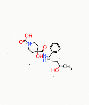 CC(O)CC[C@H](NC(=O)C1(O)CCN(C(=O)O)CC1)c1ccccc1